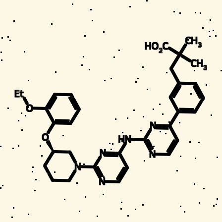 CCOc1ccccc1O[C@@H]1CCCN(c2nccc(Nc3nccc(-c4cccc(CC(C)(C)C(=O)O)c4)n3)n2)C1